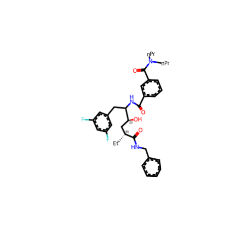 CCCN(CCC)C(=O)c1cccc(C(=O)NC(Cc2cc(F)cc(F)c2)[C@@H](O)C[C@@H](CC)C(=O)NCc2ccccc2)c1